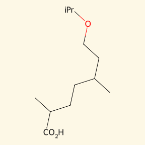 CC(CCOC(C)C)CCC(C)C(=O)O